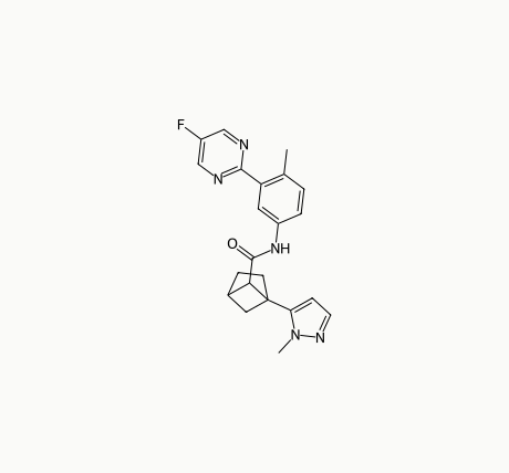 Cc1ccc(NC(=O)C2C3CCC2(c2ccnn2C)C3)cc1-c1ncc(F)cn1